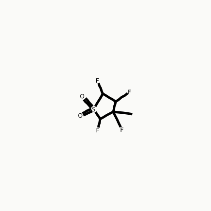 CC1(F)C(F)C(F)S(=O)(=O)C1F